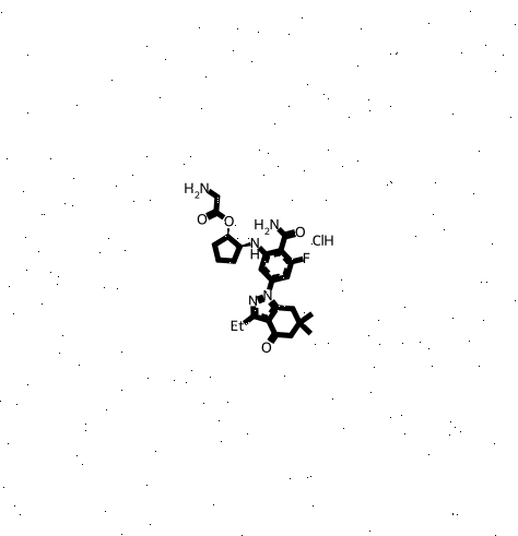 CCc1nn(-c2cc(F)c(C(N)=O)c(N[C@H]3CCC[C@@H]3OC(=O)CN)c2)c2c1C(=O)CC(C)(C)C2.Cl